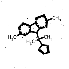 Cc1ccc2c(c1)C([Si](C)(C)C1C=CC=C1)c1cc(C)ccc1-2